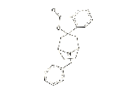 O=C1OC2(CC3CCC(C2)N3Cc2ccccc2)c2ccccc21